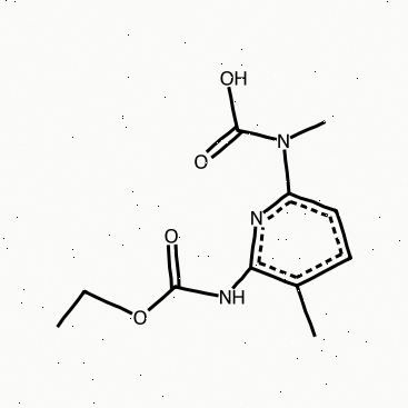 CCOC(=O)Nc1nc(N(C)C(=O)O)ccc1C